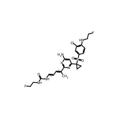 C/C(=C\C=C\NC(=O)NCCF)c1nc(N)cc(C2(S(=O)(=O)c3ccc(NCCF)c(Cl)c3)CC2)n1